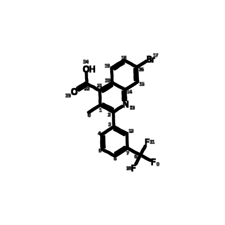 Cc1c(-c2cccc(C(F)(F)F)c2)nc2cc(Br)ccc2c1C(=O)O